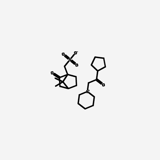 CC1(C)C2CCC1(CS(=O)(=O)[O-])C(=O)C2.O=C(C[S+]1CCCCC1)C1CCCC1